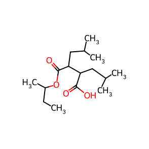 CCC(C)OC(=O)C(CC(C)C)C(CC(C)C)C(=O)O